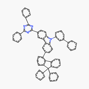 c1ccc(-c2cccc(-n3c4ccc(-c5nc(-c6ccccc6)nc(-c6ccccc6)n5)cc4c4cc(-c5cccc6c5-c5ccccc5C6(c5ccccc5)c5ccccc5)ccc43)c2)cc1